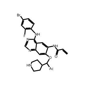 C=CC(=O)Nc1cc2c(Nc3ccc(Br)cc3F)ncnc2cc1OC(C(C)=O)C1CCNCC1